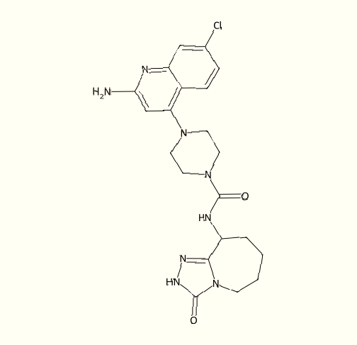 Nc1cc(N2CCN(C(=O)NC3CCCCn4c3n[nH]c4=O)CC2)c2ccc(Cl)cc2n1